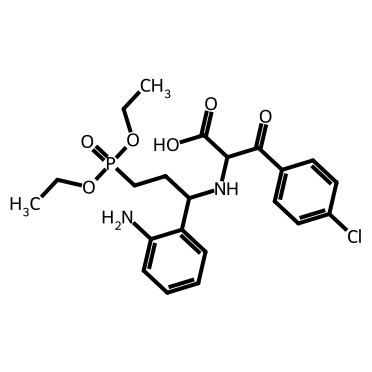 CCOP(=O)(CCC(NC(C(=O)O)C(=O)c1ccc(Cl)cc1)c1ccccc1N)OCC